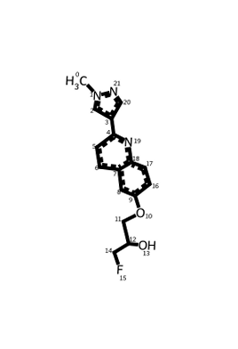 Cn1cc(-c2ccc3cc(OCC(O)CF)ccc3n2)cn1